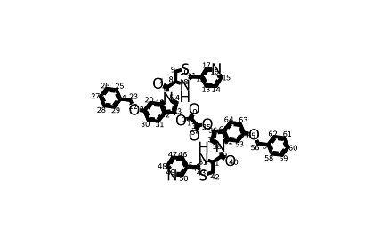 O=C(Oc1cn(C(=O)C2CSC(c3cccnc3)N2)c2cc(OCc3ccccc3)ccc12)C(=O)Oc1cn(C(=O)C2CSC(c3cccnc3)N2)c2cc(OCc3ccccc3)ccc12